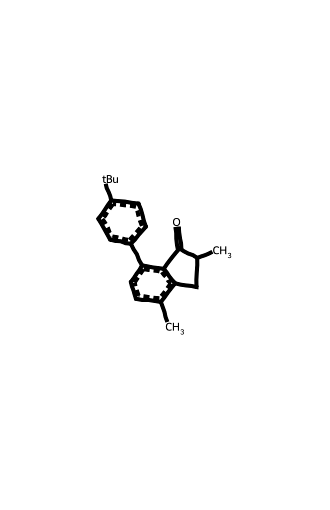 Cc1ccc(-c2ccc(C(C)(C)C)cc2)c2c1CC(C)C2=O